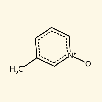 [CH2]c1ccc[n+]([O-])c1